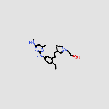 CCc1ccc(Nc2nc(C)cc(NC)n2)cc1CCC1CCN(CCO)C1